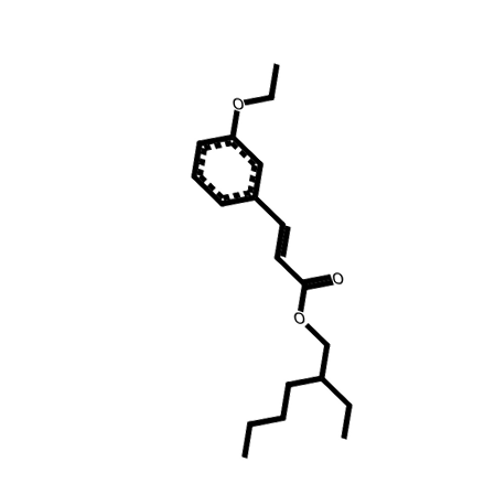 CCCCC(CC)COC(=O)C=Cc1cccc(OCC)c1